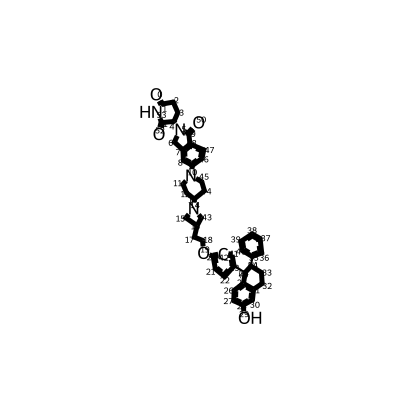 O=C1CCC(N2Cc3cc(N4CCC(N5CC(CCOc6ccc([C@@H]7c8ccc(O)cc8CC[C@@H]7c7ccccc7)cc6)C5)CC4)ccc3C2=O)C(=O)N1